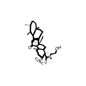 CC(=O)O[C@@H]1CC[C@@]2(C)C(CC[C@]3(C)C2C(=O)C=C2C4[C@@H](C)[C@H](C)CC[C@]4(C)CC[C@]23C)[C@@]1(C)C(=O)N(C)CCO